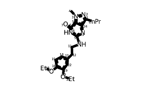 CCCc1nn(C)c2c(=O)[nH]c(NCCc3ccc(OCC)c(OCC)c3)nc12